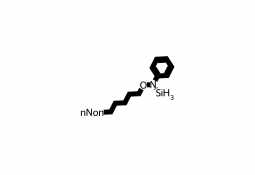 CCCCCCCCCCCCCCON([SiH3])c1ccccc1